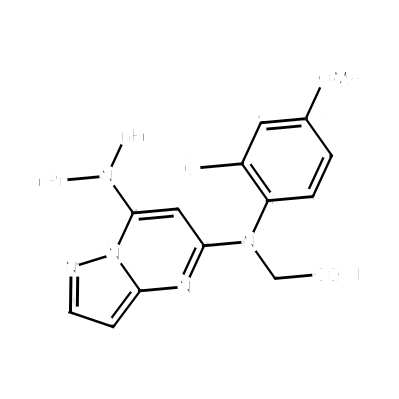 CCCN(CCC)c1cc(N(CC(=O)O)c2ccc(OC)cc2Cl)nc2ccnn12